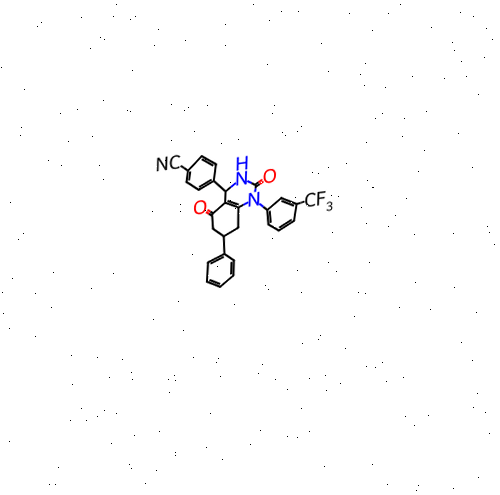 N#Cc1ccc(C2NC(=O)N(c3cccc(C(F)(F)F)c3)C3=C2C(=O)CC(c2ccccc2)C3)cc1